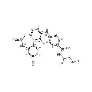 COCC(C)NC(=O)c1ccc(NC2=NC=C3CC(=O)Nc4cc(Cl)ccc4C3N2C)cc1